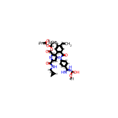 C=Cc1cc(C(=O)Nc2ccc(C(=N)NC(O)OCC)cc2)c(-c2ccc(C(=O)NCC3CC3)nc2C(=O)OC(C)OC(=O)C(C)C)cc1OC